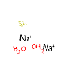 O.O.[Na+].[Na+].[S-2]